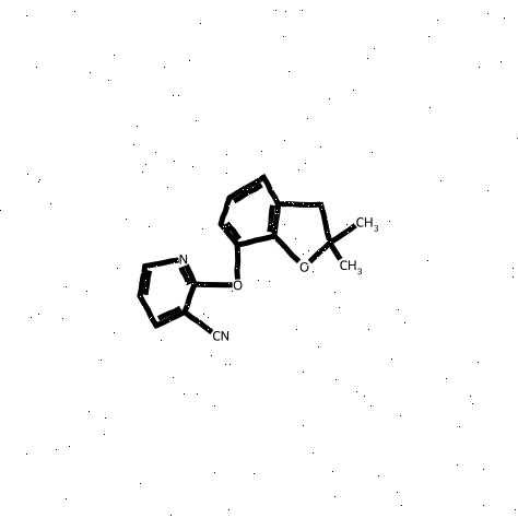 CC1(C)Cc2cccc(Oc3ncccc3C#N)c2O1